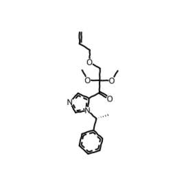 C=CCOCC(OC)(OC)C(=O)c1cncn1[C@H](C)c1ccccc1